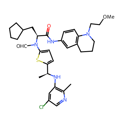 COCCN1CCCc2cc(NC(=O)[C@H](CC3CCCC3)N(C=O)c3ccc([C@H](C)Nc4cc(Cl)cnc4C)s3)ccc21